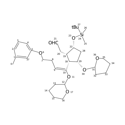 Cc1cccc(OCC/C=C(/OC2CCCCO2)[C@@H]2[C@H](CC=O)[C@H](O[Si](C)(C)C(C)(C)C)C[C@@H]2OC2CCCCO2)c1